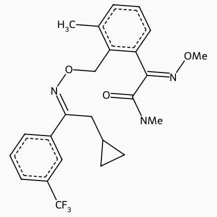 CNC(=O)/C(=N/OC)c1cccc(C)c1CO/N=C(\CC1CC1)c1cccc(C(F)(F)F)c1